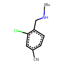 CC(C)(C)NCc1ccc(C#N)cc1Cl